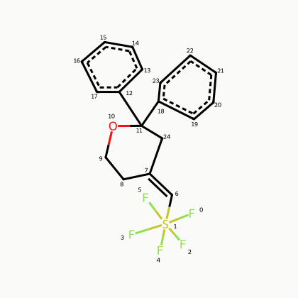 FS(F)(F)(F)(F)/C=C1\CCOC(c2ccccc2)(c2ccccc2)C1